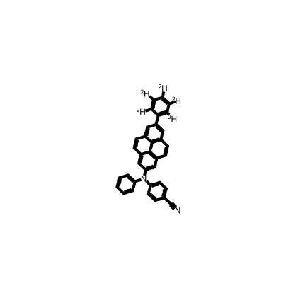 [2H]c1c([2H])c([2H])c(-c2cc3ccc4cc(N(c5ccccc5)c5ccc(C#N)cc5)cc5ccc(c2)c3c45)c([2H])c1[2H]